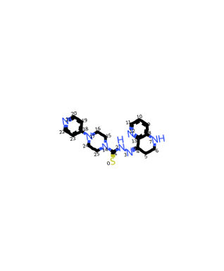 S=C(N/N=C1/CCNc2cccnc21)N1CCN(c2ccncc2)CC1